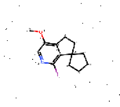 COc1cnc(I)c2c1CCC21CCCC1